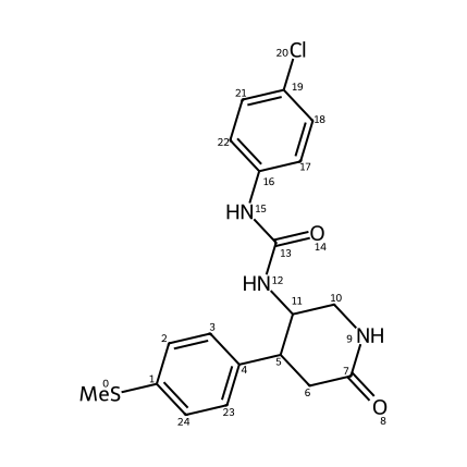 CSc1ccc(C2CC(=O)NCC2NC(=O)Nc2ccc(Cl)cc2)cc1